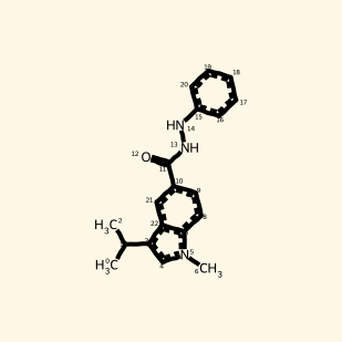 CC(C)c1cn(C)c2ccc(C(=O)NNc3ccccc3)cc12